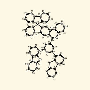 c1ccc2c(c1)Cc1c(-c3cc(-c4nc5ccccc5c5cc6c(cc45)-c4ccccc4C64c5ccccc5-c5ccccc54)cc(-c4cccc5c4oc4ccccc45)c3)cccc1-2